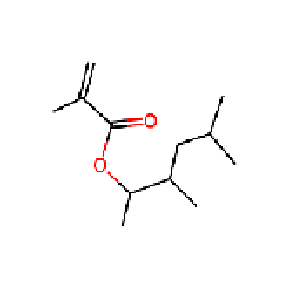 C=C(C)C(=O)OC(C)C(C)CC(C)C